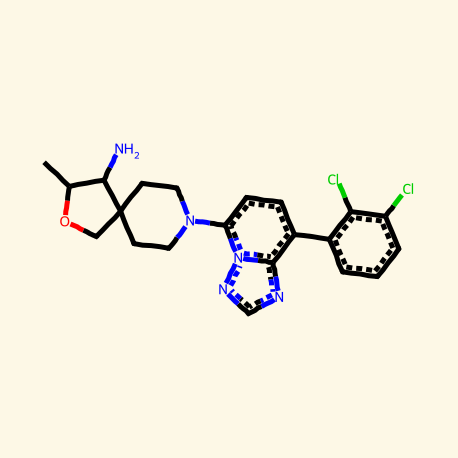 CC1OCC2(CCN(c3ccc(-c4cccc(Cl)c4Cl)c4ncnn34)CC2)C1N